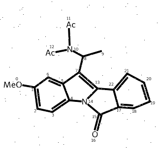 COc1ccc2c(c1)c(C(C)N(C(C)=O)C(C)=O)c1n2C(=O)c2ccccc2-1